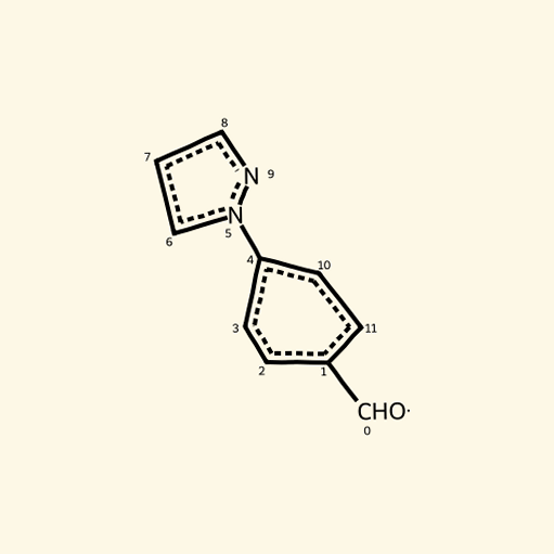 O=[C]c1ccc(-n2cccn2)cc1